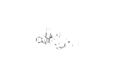 CC(C)(NS(=O)(=O)c1ccccc1F)C(=O)NC1C2CC3CC1CC(C(N)=O)(C3)C2